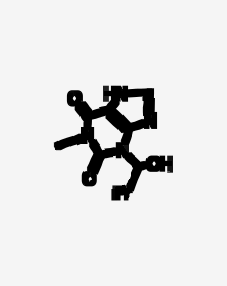 CC(C)C(O)n1c(=O)n(C)c(=O)c2[nH]cnc21